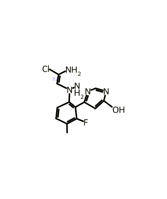 Cc1ccc(N(N)/C=C(\N)Cl)c(-c2cc(O)ncn2)c1F